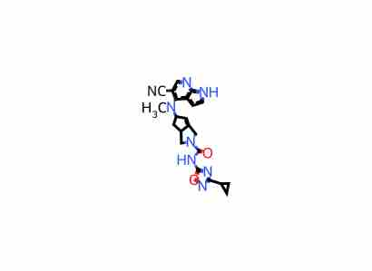 CN(c1c(C#N)cnc2[nH]ccc12)C1C=C2CN(C(=O)Nc3nc(C4CC4)no3)CC2C1